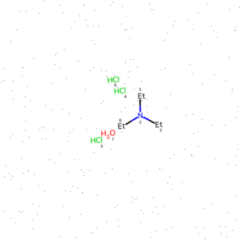 CCN(CC)CC.Cl.Cl.Cl.O